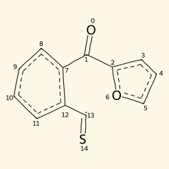 O=C(c1ccco1)c1ccccc1[C]=S